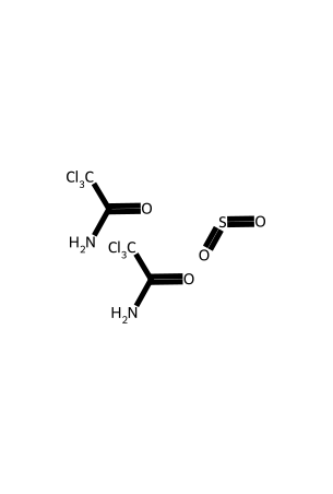 NC(=O)C(Cl)(Cl)Cl.NC(=O)C(Cl)(Cl)Cl.O=S=O